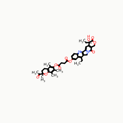 CCc1c2c(nc3ccc(OC(=O)CCC(=O)Oc4c(C)c(C)c5c(c4C)CC[C@@](C)(C(C)=O)O5)cc13)-c1cc3c(c(=O)n1C2)COC(=O)[C@]3(O)CC